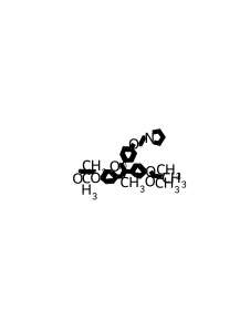 CC1=C(c2ccc(OC(=O)C(C)(C)C)cc2)[C@@H](c2ccc(OCCN3CCCCC3)cc2)Oc2cc(OCC(C)(C)C=O)ccc21